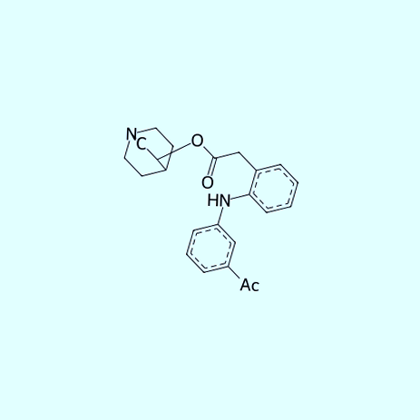 CC(=O)c1cccc(Nc2ccccc2CC(=O)OC2CN3CCC2CC3)c1